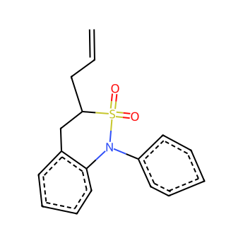 C=CCC1Cc2ccccc2N(c2ccccc2)S1(=O)=O